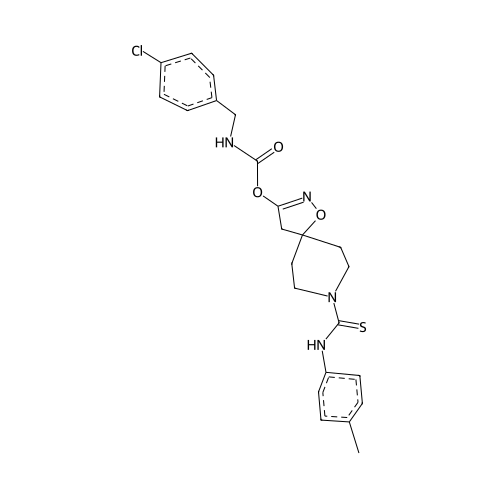 Cc1ccc(NC(=S)N2CCC3(CC2)CC(OC(=O)NCc2ccc(Cl)cc2)=NO3)cc1